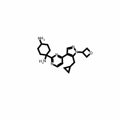 NC1CCC(N)(c2nccc(-c3cnn(C4COC4)c3CC3CC3)n2)CC1